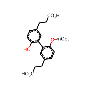 CCCCCCCCOc1ccc(CCC(=O)O)cc1-c1cc(CCC(=O)O)ccc1O